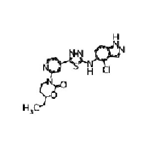 CCC1CCN(c2cc(-c3nnc(Nc4ccc5[nH]ncc5c4Cl)s3)ccn2)C(=O)O1